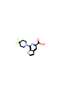 O=C(O)c1cc2ccoc2c(N2CCC(F)(F)CC2)n1